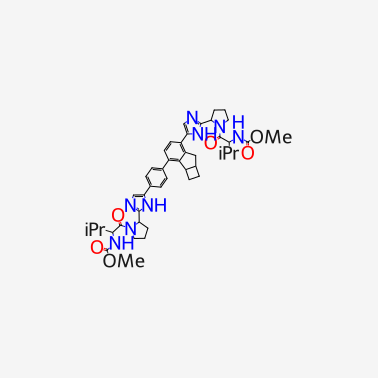 COC(=O)NC(C(=O)N1CCCC1c1ncc(-c2ccc(-c3ccc(-c4cnc(C5CCCN5C(=O)C(NC(=O)OC)C(C)C)[nH]4)c4c3C3CCC3C4)cc2)[nH]1)C(C)C